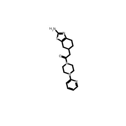 Nc1nc2c(s1)CC(CC(=O)N1CCN(c3ccccn3)CC1)CC2